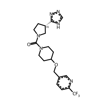 O=C(N1CCC(OCc2ccc(C(F)(F)F)nc2)CC1)N1CC[C@H](c2nnc[nH]2)C1